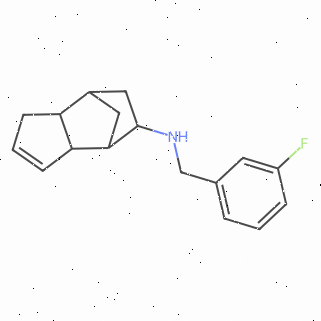 Fc1cccc(CNC2CC3CC2C2C=CCC32)c1